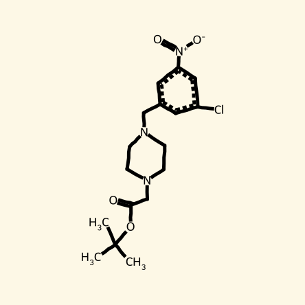 CC(C)(C)OC(=O)CN1CCN(Cc2cc(Cl)cc([N+](=O)[O-])c2)CC1